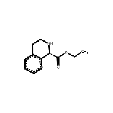 CCOC(=O)[C@@H]1NCCc2ccccc21